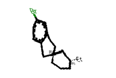 CC[C@@H]1CCC[C@]2(Cc3ccc(Br)cc3C2)C1